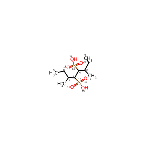 CCC(C)C(C(C(C)CC)S(=O)(=O)O)S(=O)(=O)O